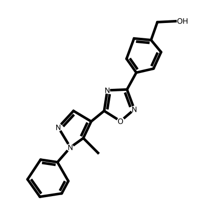 Cc1c(-c2nc(-c3ccc(CO)cc3)no2)cnn1-c1ccccc1